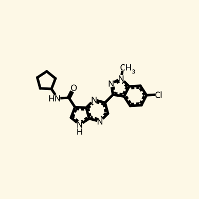 Cn1nc(-c2cnc3[nH]cc(C(=O)NC4CCCC4)c3n2)c2ccc(Cl)cc21